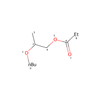 CCCCOC(C)COC(=O)CC